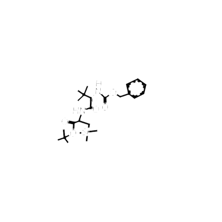 CC(C)(C)OC(=O)C(C[Si](C)(C)C)NC(=O)[C@@H](NC(=O)OCc1ccccc1)C(C)(C)C